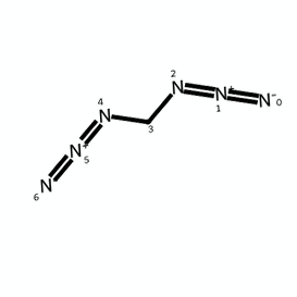 [N-]=[N+]=NCN=[N+]=[N-]